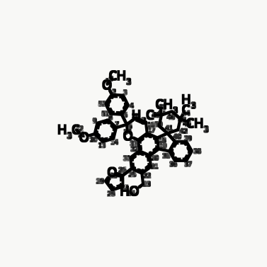 COc1ccc(C2(c3ccc(OC)cc3)C=Cc3c4c(c5cc(CO)c(-c6ccco6)cc5c3O2)-c2ccccc2C42CC(C)(C)CC(C)(C)C2)cc1